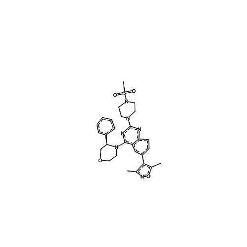 Cc1noc(C)c1-c1ccc2nc(N3CCN(S(C)(=O)=O)CC3)nc(N3CCOC[C@H]3c3ccccc3)c2c1